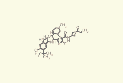 C=CC(=O)N1CC(NC(=O)c2c(Cl)nc3n2C2C[C@H](C)CC[C@H]2C(C)C3Nc2n[nH]c3cc(Cl)c(C(C)(C)C)cc23)C1